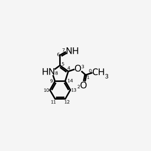 CC(=O)Oc1c(C=N)[nH]c2ccccc12